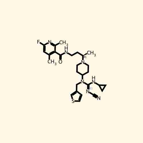 Cc1cc(F)nc(C)c1C(=O)NCC[C@@H](C)N1CCC(N(Cc2ccsc2)/C(=N/C#N)NC2CC2)CC1